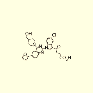 O=C(O)CCC(=O)c1cn(-c2nc(N3CCC(CO)CC3)c3cc(-c4ccco4)ccc3n2)c2ccc(Cl)cc12